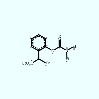 CCOC(=O)C(c1ccccc1OC(=O)N(CC)CC)C(C)C